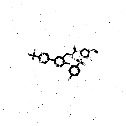 C=C[C@@H]1C[C@@H](C(=O)NCc2cc(-c3cnc(C(F)(F)F)nc3)ncc2C)N(S(=O)(=O)c2ccc(F)cc2)[C@H]1C